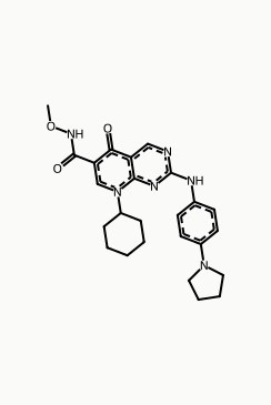 CONC(=O)c1cn(C2CCCCC2)c2nc(Nc3ccc(N4CCCC4)cc3)ncc2c1=O